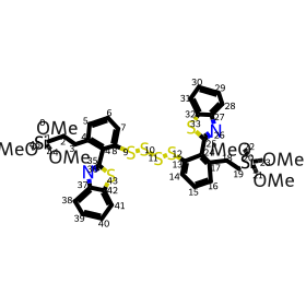 CO[Si](CCc1cccc(SSSSc2cccc(CC[Si](OC)(OC)OC)c2-c2nc3ccccc3s2)c1-c1nc2ccccc2s1)(OC)OC